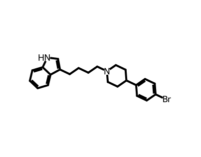 Brc1ccc(C2CCN(CCCCc3c[nH]c4ccccc34)CC2)cc1